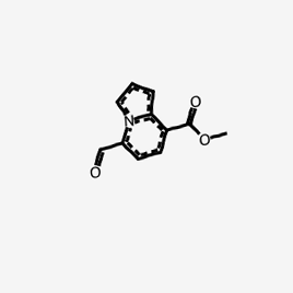 COC(=O)c1ccc(C=O)n2cccc12